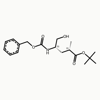 C[C@@H](C[C@@H](CO)NC(=O)OCc1ccccc1)C(=O)OC(C)(C)C